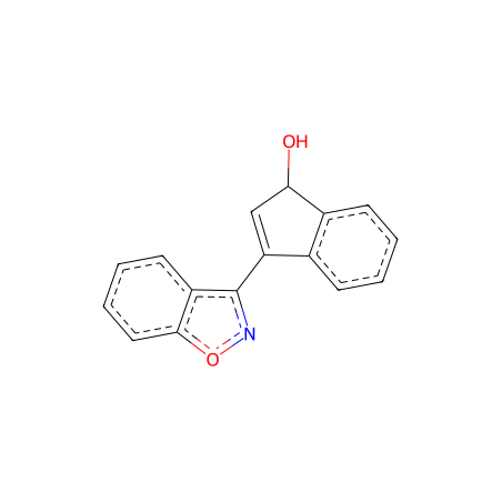 OC1C=C(c2noc3ccccc23)c2ccccc21